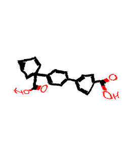 O=C(O)c1ccc(-c2ccc(C3(C(=O)O)C=CC=CC3)cc2)cc1